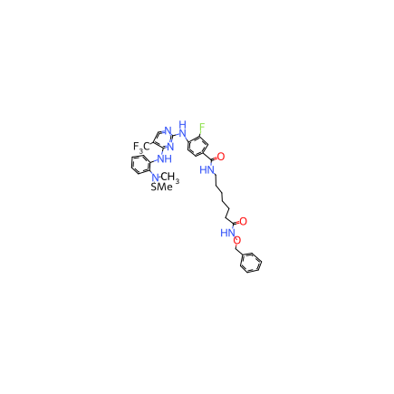 CSN(C)c1ccccc1Nc1nc(Nc2ccc(C(=O)NCCCCCCC(=O)NOCc3ccccc3)cc2F)ncc1C(F)(F)F